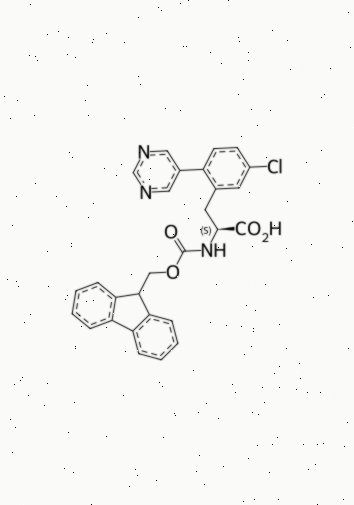 O=C(N[C@@H](Cc1cc(Cl)ccc1-c1cncnc1)C(=O)O)OCC1c2ccccc2-c2ccccc21